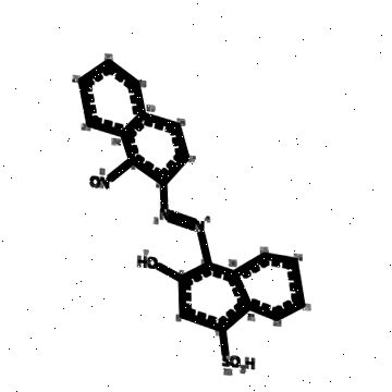 O=Nc1c(/N=N/c2c(O)cc(S(=O)(=O)O)c3ccccc23)ccc2ccccc12